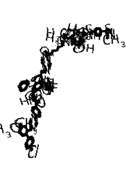 Cc1ncsc1-c1ccc([C@H](C)NC(=O)[C@@H]2C[C@@H](O)CN2C(=O)[C@@H](NC(=O)CCCCCC(=O)N2CCN(CCC(CSc3ccccc3)Nc3ccc(S(=O)(=O)NC(=O)c4ccc(N5CCN(CC6=C(c7ccc(Cl)cc7)CCC(C)(C)C6)CC5)cc4)cc3S(=O)(=O)C(F)(F)F)CC2)C(C)(C)C)cc1